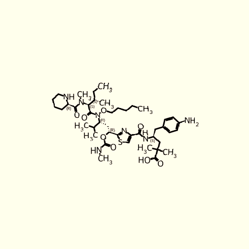 CCCCCON(C(=O)[C@H]([C@@H](C)CC)N(C)C(=O)[C@H]1CCCCN1)[C@H](C[C@@H](OC(=O)NC)c1nc(C(=O)N[C@@H](Cc2ccc(N)cc2)CC(C)(C)C(=O)O)cs1)C(C)C